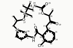 CC(Cn1ccc(NC(=O)c2c(Cl)cccc2CC(=O)C(C)OC(N)=O)n1)O[Si](C)(C)C(C)(C)C